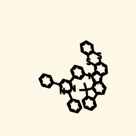 CC1(C)c2ccccc2-c2ccc3c4ccc5c(c4n(-c4cccc(-c6cc(-c7ccccc7)nc(-c7ccccc7)n6)c4)c3c21)Sc1ccccc1S5